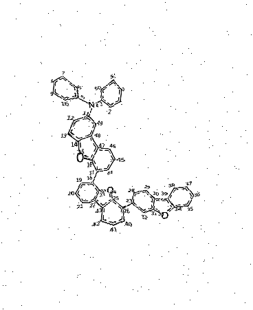 c1ccc(N(c2ccccc2)c2ccc3oc4c(-c5cccc6c5oc5c(-c7ccc8c(c7)oc7ccccc78)cccc56)cccc4c3c2)cc1